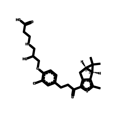 Cc1sc(C(=O)CCc2ccc(OCC(O)CNCCC(=O)O)c(Cl)c2)c2c1[C@H]1[C@@H](C2)C1(C)C